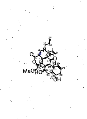 C=CCN(/C=C1/C(=O)O[C@H](COC)[C@@]2(C)C1=C(O)C(=O)C1=C2[C@H](O)C[C@]2(C)C(O)CC#C[C@@H]12)CC=C